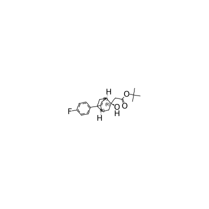 CC(C)(C)OC(=O)C[C@]1(O)C[C@H]2CC[C@@H]1C=C2c1ccc(F)cc1